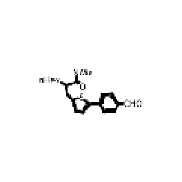 CCCCCCC(Cc1ccc(-c2ccc(C=O)cc2)s1)C(=O)NC